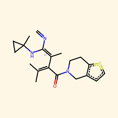 C=N/C(NC1(C)CC1)=C(\C)C(C(=O)N1CCc2sccc2C1)=C(C)C